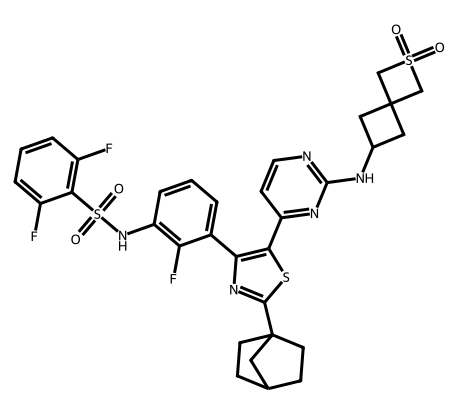 O=S1(=O)CC2(CC(Nc3nccc(-c4sc(C56CCC(CC5)C6)nc4-c4cccc(NS(=O)(=O)c5c(F)cccc5F)c4F)n3)C2)C1